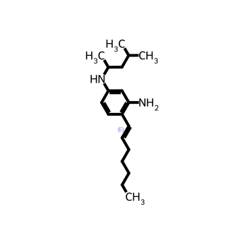 CCCCC/C=C/c1ccc(NC(C)CC(C)C)cc1N